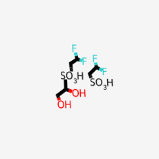 CC(O)CO.O=S(=O)(O)CC(F)F.O=S(=O)(O)CC(F)F